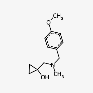 COc1ccc(CN(C)CC2(O)CC2)cc1